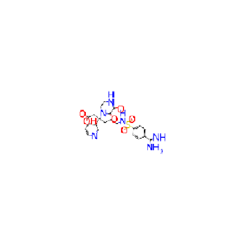 N=C(N)c1ccc(S(=O)(=O)NCCCC(CC(=O)O)(c2cccnc2)N2CCNC(=O)C2=O)cc1